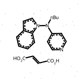 CCCCN(c1ccncc1)n1ccc2ccccc21.O=C(O)C=CC(=O)O